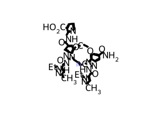 CCn1nc(C)cc1C(=O)Nc1nc2cc(C(N)=O)cc3c2n1C/C=C/Cn1c(NC(=O)c2cc(C)nn2CC)nc2cc(C(=O)NCc4ncccc4C(=O)O)cc(c21)OCCCO3